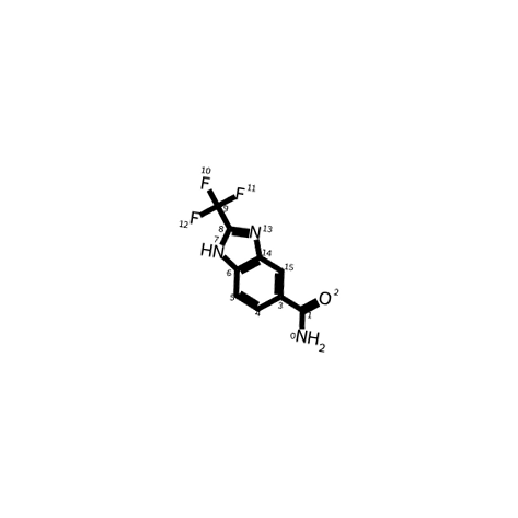 NC(=O)c1ccc2[nH]c(C(F)(F)F)nc2c1